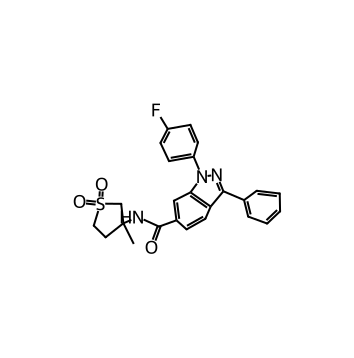 CC1(NC(=O)c2ccc3c(-c4ccccc4)nn(-c4ccc(F)cc4)c3c2)CCS(=O)(=O)C1